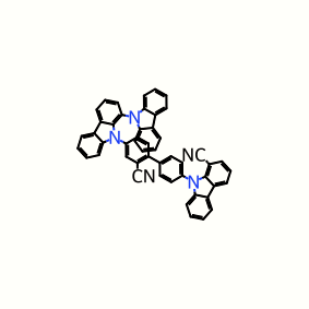 N#Cc1cc(-n2c3ccccc3c3cccc(-n4c5ccccc5c5ccccc54)c32)ccc1-c1ccc(-n2c3ccccc3c3cccc(C#N)c32)cc1